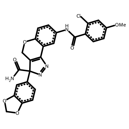 COc1ccc(C(=O)Nc2ccc3c(c2)C2=C(CO3)C(C(N)=O)(c3ccc4c(c3)OCO4)N=N2)c(Cl)c1